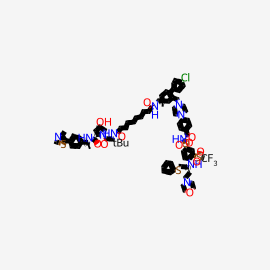 Cc1ncsc1-c1ccc([C@H](C)NC(=O)[C@@H]2C[C@@H](O)CN2C(=O)[C@@H](NC(=O)CCCCCCCCC(=O)NC[C@]2(C)CCC(c3ccc(Cl)cc3)=C(CN3CCN(c4ccc(C(=O)NS(=O)(=O)c5ccc(N[C@H](CCN6CCOCC6)CSc6ccccc6)c(S(=O)(=O)C(F)(F)F)c5)cc4)CC3)C2)C(C)(C)C)cc1